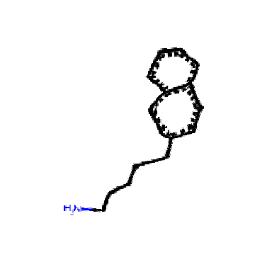 NCCCCCc1ccc2ccccc2c1